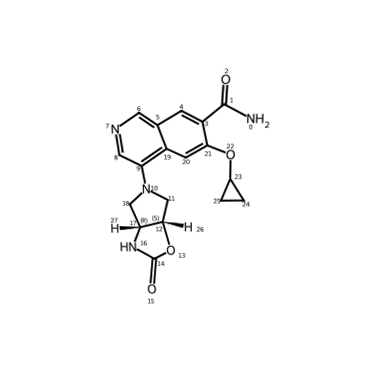 NC(=O)c1cc2cncc(N3C[C@@H]4OC(=O)N[C@@H]4C3)c2cc1OC1CC1